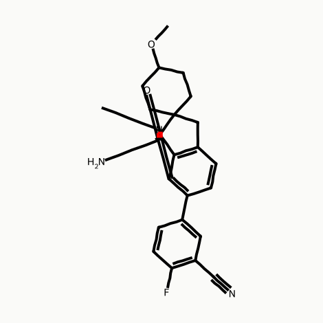 COC1CCC2(CC1)Cc1ccc(-c3ccc(F)c(C#N)c3)cc1C21N=C(N)N(C)C1=O